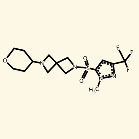 Cn1nc(C(F)(F)F)cc1S(=O)(=O)N1CC2(CN(C3CCOCC3)C2)C1